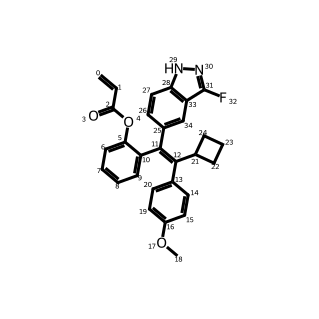 C=CC(=O)Oc1ccccc1/C(=C(\c1ccc(OC)cc1)C1CCC1)c1ccc2[nH]nc(F)c2c1